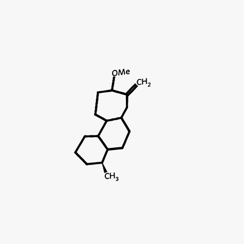 C=C1CC2CCC3C(CCC[C@@H]3C)C2CCC1OC